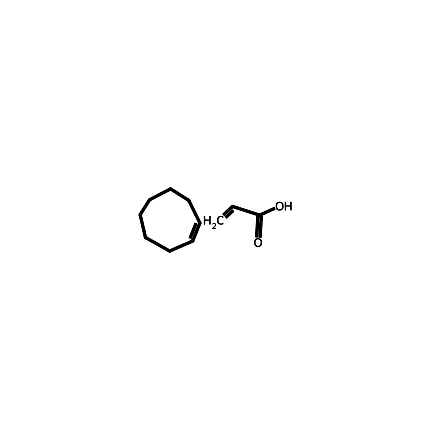 C1=CCCCCCC1.C=CC(=O)O